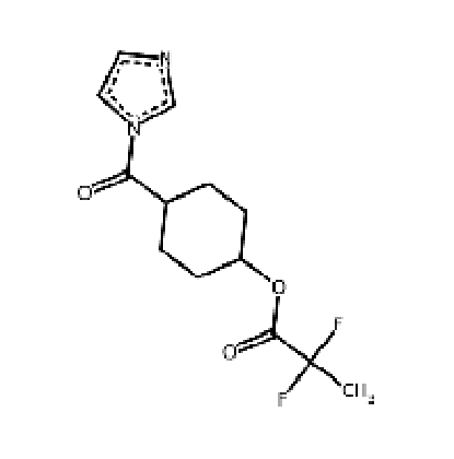 CC(F)(F)C(=O)OC1CCC(C(=O)n2ccnc2)CC1